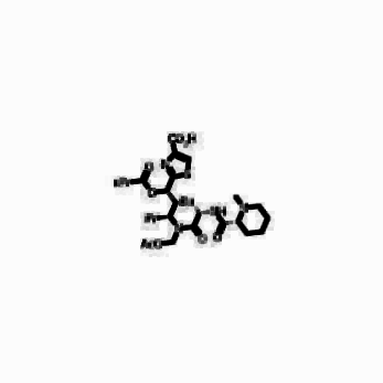 CCCC(=O)O[C@H](C[C@H](C(C)C)N(COC(C)=O)C(=O)[C@@H](NC(=O)[C@H]1CCCCN1C)[C@@H](C)CC)c1nc(C(=O)O)cs1